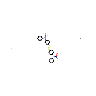 CC(=O)N(c1ccccc1)c1ccc(SSc2ccc(N(C(C)=O)c3ccccc3)cc2)cc1